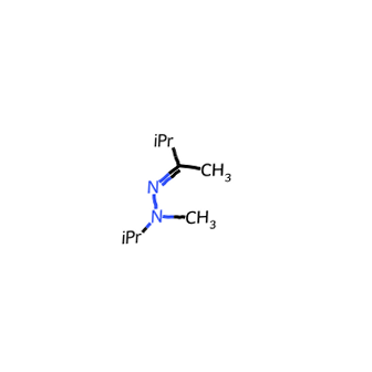 CC(=NN(C)C(C)C)C(C)C